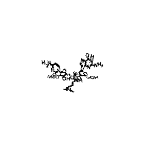 COC1[C@@H](O)[C@@H](COP(=O)(NCCCN(C)C)O[C@@H]2C[C@H](n3cnc4c(=O)[nH]c(N)nc43)O[C@@H]2CO)O[C@H]1n1ccc(N)nc1=O